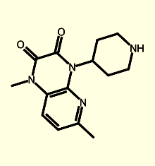 Cc1ccc2c(n1)n(C1CCNCC1)c(=O)c(=O)n2C